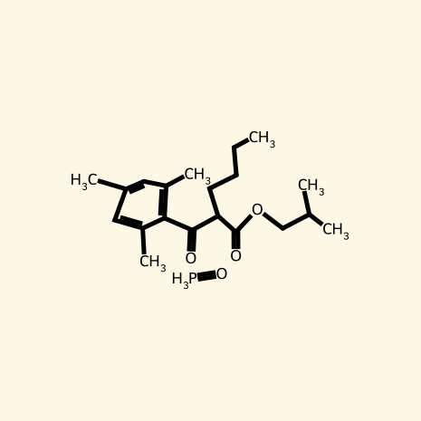 CCCCC(C(=O)OCC(C)C)C(=O)c1c(C)cc(C)cc1C.O=[PH3]